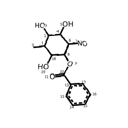 CC1C(O)C(O)C(N=O)C(OC(=O)c2ccccc2)C1O